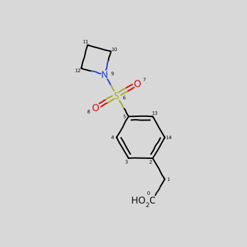 O=C(O)Cc1ccc(S(=O)(=O)N2CCC2)cc1